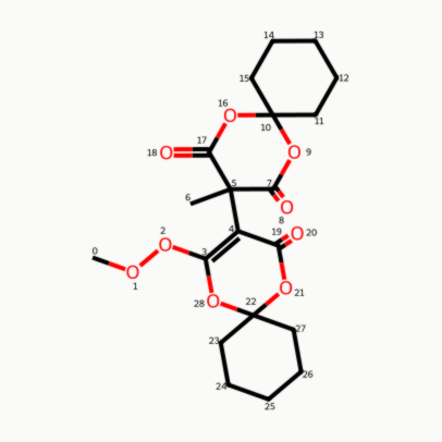 COOC1=C(C2(C)C(=O)OC3(CCCCC3)OC2=O)C(=O)OC2(CCCCC2)O1